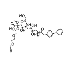 C#CCOCCOCCOC(C[C@H](O)[C@H](C[C@H](O)[C@H](O)CNC(=O)Cc1ccc(-c2ccccc2)cc1)NC(=O)CO)(OC)C(=O)O